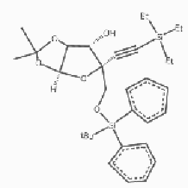 CC[Si](C#C[C@]1(CO[Si](c2ccccc2)(c2ccccc2)C(C)(C)C)O[C@H]2OC(C)(C)OC2[C@@H]1O)(CC)CC